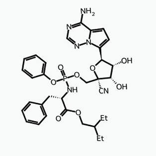 CCC(CC)COC(=O)[C@H](Cc1ccccc1)NP(=O)(OC[C@@]1(C#N)O[C@@H](c2ccc3c(N)ncnn23)[C@H](O)[C@@H]1O)Oc1ccccc1